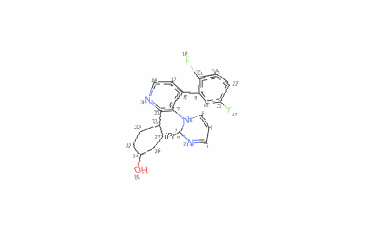 CC(C)C1N=CC=CN1c1c(-c2cc(F)ccc2F)ccnc1C1CCC(O)CC1